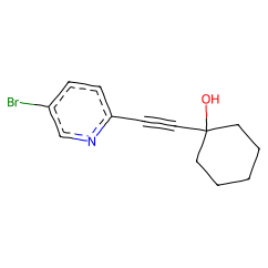 OC1(C#Cc2ccc(Br)cn2)CCCCC1